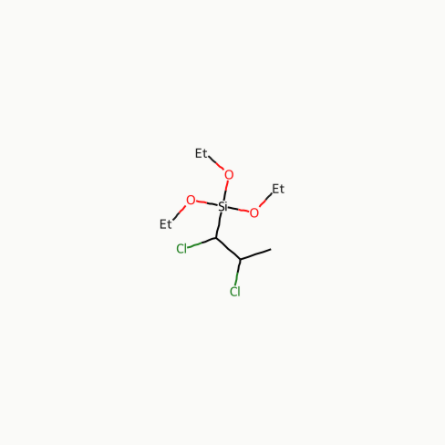 CCO[Si](OCC)(OCC)C(Cl)C(C)Cl